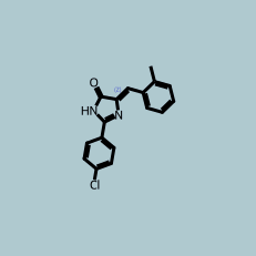 Cc1ccccc1/C=C1\N=C(c2ccc(Cl)cc2)NC1=O